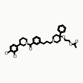 CC(=O)OCCOC1(c2ccccc2)CCN(CCCc2cccc(C(=O)N3CCCC(c4ccc(Cl)c(Cl)c4)C3)c2)CC1